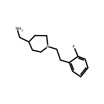 NCC1CCN(CCc2ccccc2F)CC1